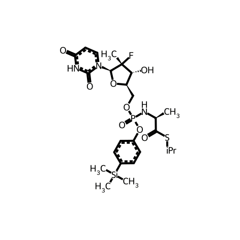 CC(C)SC(=O)[C@H](C)NP(=O)(OC[C@H]1O[C@@H](n2ccc(=O)[nH]c2=O)[C@](C)(F)[C@@H]1O)Oc1ccc([Si](C)(C)C)cc1